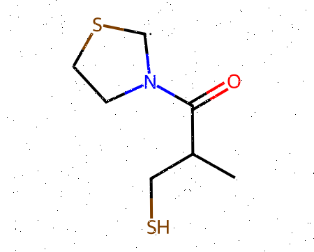 CC(CS)C(=O)N1[CH]SCC1